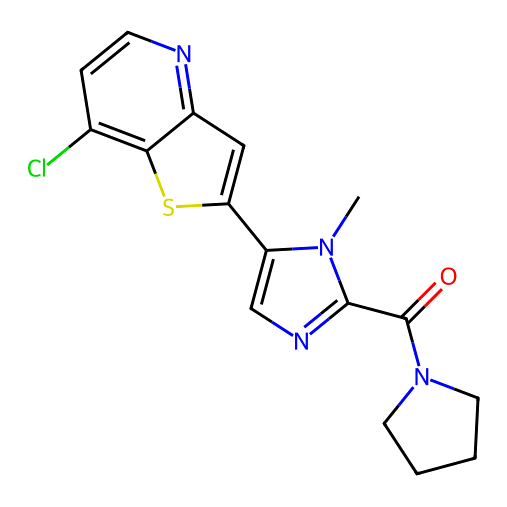 Cn1c(-c2cc3nccc(Cl)c3s2)cnc1C(=O)N1CCCC1